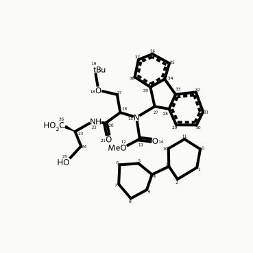 C1CCC(C2CCCCC2)CC1.COC(=O)N(C(COC(C)(C)C)C(=O)N[C@@H](CO)C(=O)O)C1c2ccccc2-c2ccccc21